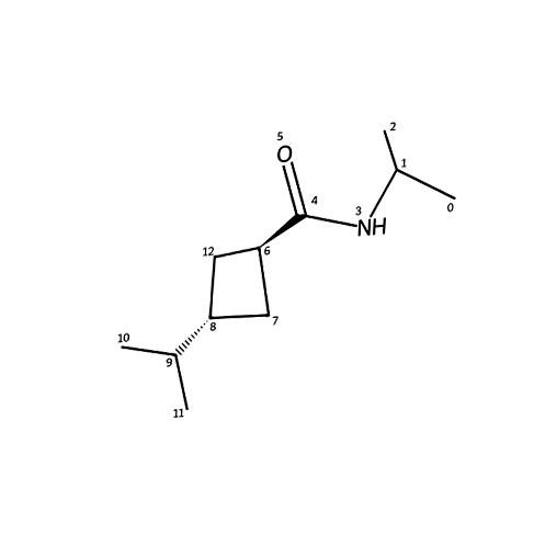 CC(C)NC(=O)[C@H]1C[C@H](C(C)C)C1